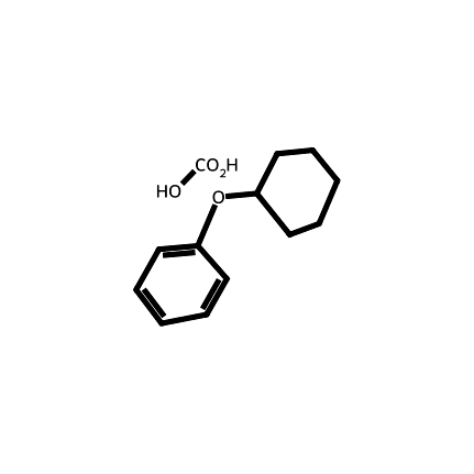 O=C(O)O.c1ccc(OC2CCCCC2)cc1